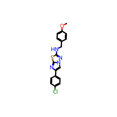 COc1ccc(CNc2nn3cc(-c4ccc(Cl)cc4)nc3s2)cc1